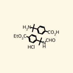 CC(C)(N)c1ccc(C(=O)O)cc1.CCOC(=O)c1ccc(C(C)(C)NC=O)cc1.Cl